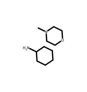 CN1CCOCC1.NC1CCCCC1